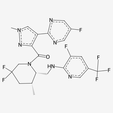 C[C@@H]1CC(F)(F)CN(C(=O)c2nn(C)cc2-c2ncc(F)cn2)[C@@H]1CNc1ncc(C(F)(F)F)cc1F